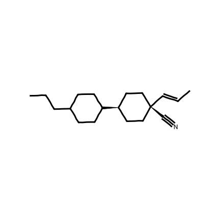 CC=C[C@]1(C#N)CC[C@@H](C2CCC(CCC)CC2)CC1